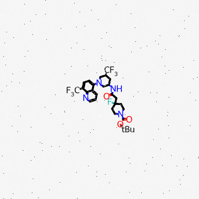 CC(C)(C)OC(=O)N1CCC(F)(CC(=O)N[C@@H]2C[C@H](C(F)(F)F)CN(c3ccc(C(F)(F)F)c4ncccc34)C2)CC1